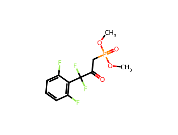 COP(=O)(CC(=O)C(F)(F)c1c(F)cccc1F)OC